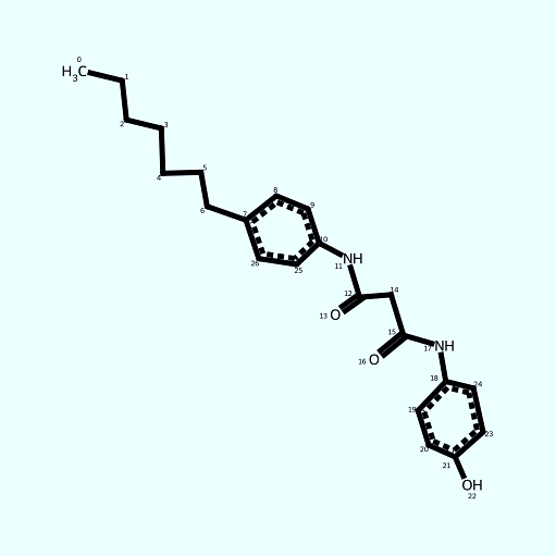 CCCCCCCc1ccc(NC(=O)CC(=O)Nc2ccc(O)cc2)cc1